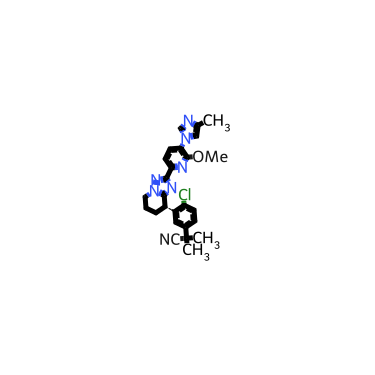 COc1nc(-c2nc3n(n2)CCC[C@H]3c2cc(C(C)(C)C#N)ccc2Cl)ccc1-n1cnc(C)c1